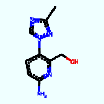 Cc1ncn(-c2ccc(N)nc2CO)n1